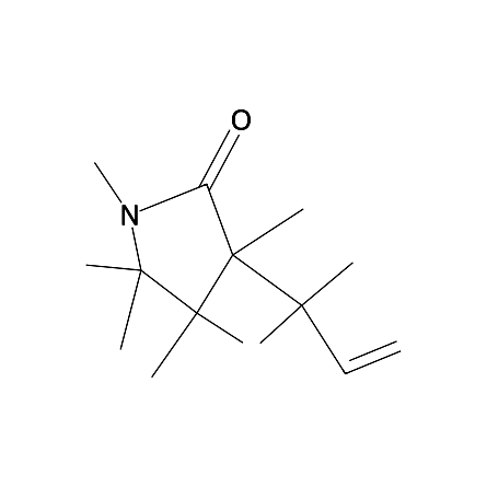 C=CC(C)(C)C1(C)C(=O)N(C)C(C)(C)C1(C)C